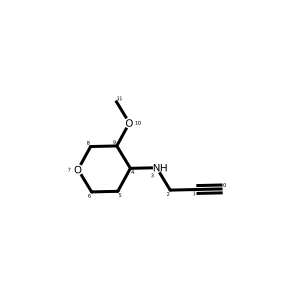 C#CCNC1CCOCC1OC